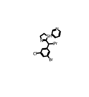 CC(C)C(C1=NCC[SH]1c1cccnc1)c1cc(Cl)cc(Br)c1